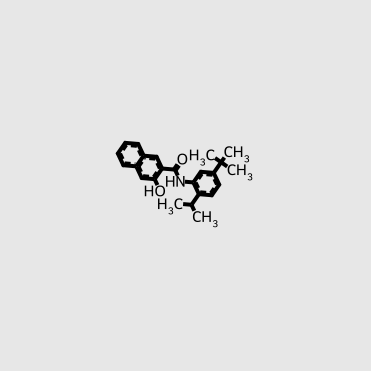 CC(C)c1ccc(C(C)(C)C)cc1NC(=O)c1cc2ccccc2cc1O